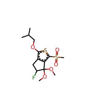 COC1(OC)c2c(S(C)(=O)=O)sc(OCC(C)C)c2CC1F